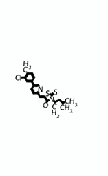 Cc1ccc(-c2ccc(/C=C3\SC(=S)N([C@H](C)CC(C)C)C3=O)nc2)cc1Cl